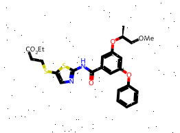 CCOC(=O)CCSc1cnc(NC(=O)c2cc(Oc3ccccc3)cc(O[C@@H](C)COC)c2)s1